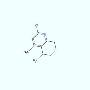 Cc1cc(Cl)nc2c1C(C)CCC2